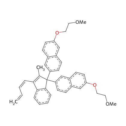 C=C/C=C\C1=C(C)C(c2ccc3cc(OCCOC)ccc3c2)(c2ccc3cc(OCCOC)ccc3c2)c2ccccc21